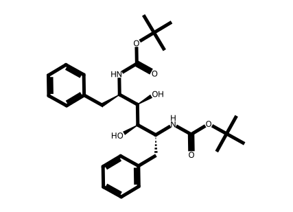 CC(C)(C)OC(=O)N[C@H](Cc1ccccc1)[C@@H](O)[C@H](O)[C@@H](Cc1ccccc1)NC(=O)OC(C)(C)C